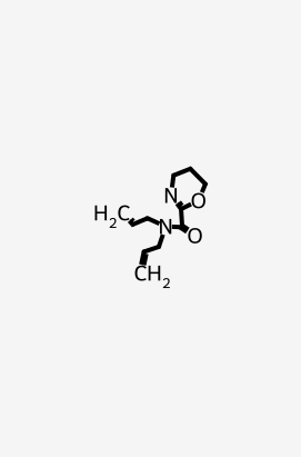 C=CCN(CC=C)C(=O)C1=NCCCO1